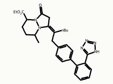 CCCCC(Cc1ccc(-c2ccccc2-c2nnn[nH]2)cc1)=C1CC(=O)N2C(C(=O)OCC)CCC(C)N12